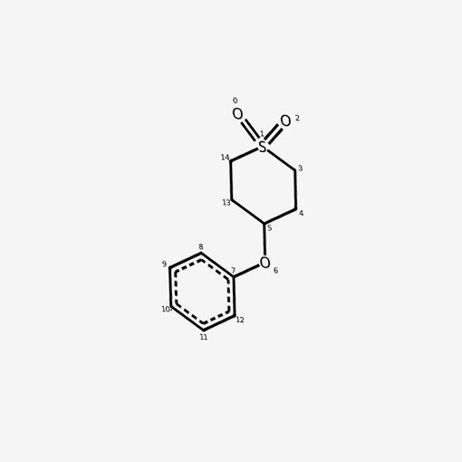 O=S1(=O)CCC(Oc2cc[c]cc2)CC1